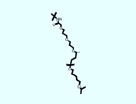 CC(C)OCCCCCOC(C)(C)CC[C@@H](C)OCCCOCCCOCC(=O)NC(C)(C)C